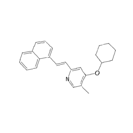 Cc1cnc(C=Cc2cccc3ccccc23)cc1OC1CCCCC1